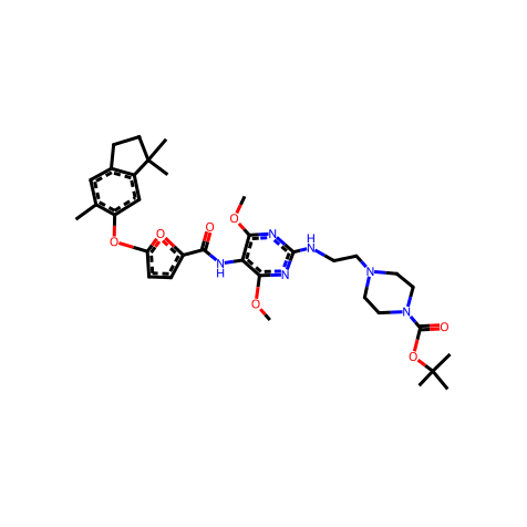 COc1nc(NCCN2CCN(C(=O)OC(C)(C)C)CC2)nc(OC)c1NC(=O)c1ccc(Oc2cc3c(cc2C)CCC3(C)C)o1